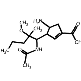 CCCC(C)(OC)C(NC(C)=O)C1C=C(C(=O)O)CC1N